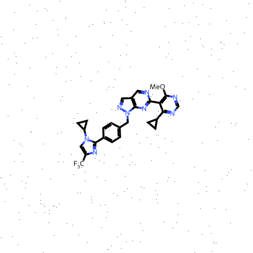 COc1ncnc(C2CC2)c1-c1ncc2cnn(Cc3ccc(-c4nc(C(F)(F)F)cn4C4CC4)cc3)c2n1